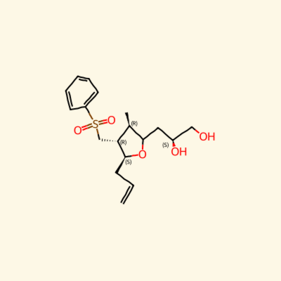 C=CC[C@@H]1OC(C[C@H](O)CO)[C@H](C)[C@H]1CS(=O)(=O)c1ccccc1